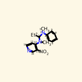 CCC(N(C)c1ccccc1)N(C)c1ccncc1[N+](=O)[O-]